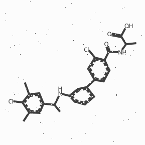 Cc1cc(C(C)Nc2cccc(-c3ccc(C(=O)NC(C)C(=O)O)c(Cl)c3)c2)cc(C)c1Cl